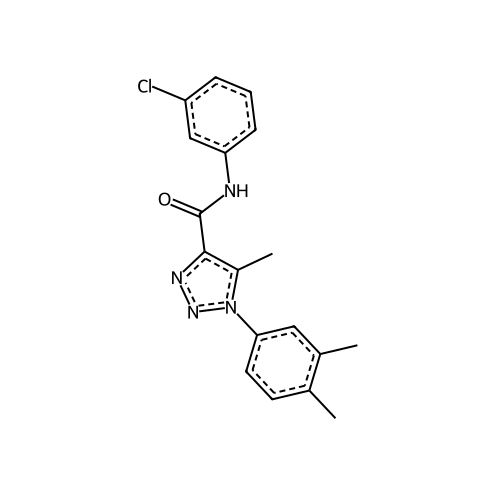 Cc1ccc(-n2nnc(C(=O)Nc3cccc(Cl)c3)c2C)cc1C